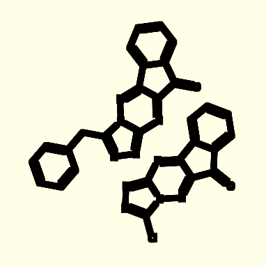 O=C1c2ccccc2-c2nc3nnc(Cl)n3nc21.O=C1c2ccccc2-c2nn3c(Cc4ccccc4)nnc3nc21